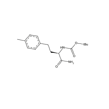 Cc1ccc(CC[C@@H](NC(=O)OC(C)(C)C)C(N)=O)cc1